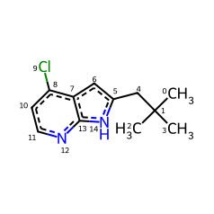 CC(C)(C)Cc1cc2c(Cl)ccnc2[nH]1